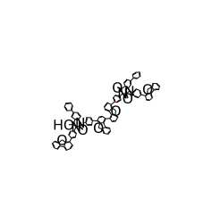 O=C1N(c2ccc(-c3ccc(-c4cccc5oc6c(-c7ccc(-n8c(=O)c9ccc(-c%10ccccc%10)cc9n(-c9ccc(-c%10cccc%11c%10oc%10ccccc%10%11)cc9)c8=O)cc7)cccc6c45)c4c3oc3ccccc34)cc2)c2ccc(-c3ccccc3)cc2C(O)N1c1ccc(-c2cccc3c2oc2ccccc23)cc1